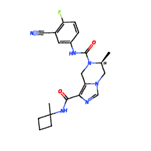 C[C@H]1Cn2cnc(C(=O)NC3(C)CCC3)c2CN1C(=O)Nc1ccc(F)c(C#N)c1